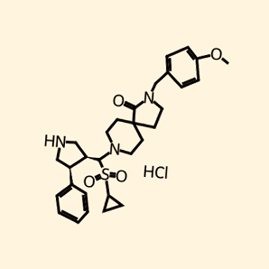 COc1ccc(CN2CCC3(CCN(C([C@@H]4CNC[C@@H]4c4ccccc4)S(=O)(=O)C4CC4)CC3)C2=O)cc1.Cl